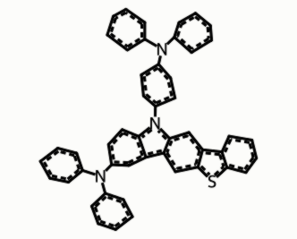 c1ccc(N(c2ccccc2)c2ccc(-n3c4ccc(N(c5ccccc5)c5ccccc5)cc4c4cc5sc6ccccc6c5cc43)cc2)cc1